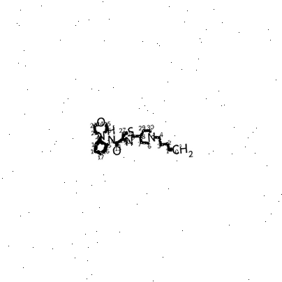 C=CCCCN1CCC(c2nc(C(=O)Nc3ccccc3N3CCOCC3)cs2)CC1